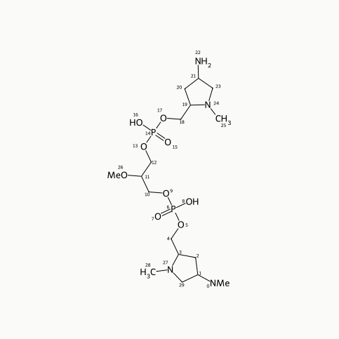 CNC1CC(COP(=O)(O)OCC(COP(=O)(O)OCC2CC(N)CN2C)OC)N(C)C1